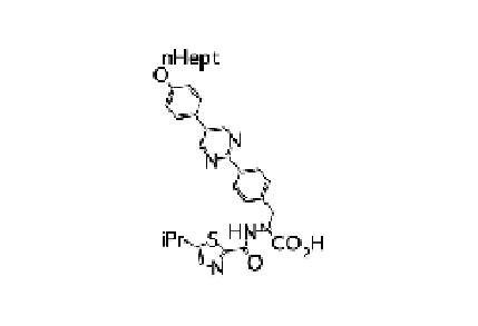 CCCCCCCOc1ccc(-c2cnc(-c3ccc(C[C@H](NC(=O)c4ncc(C(C)C)s4)C(=O)O)cc3)nc2)cc1